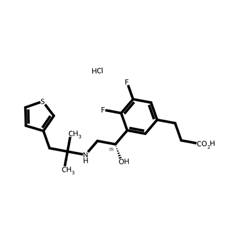 CC(C)(Cc1ccsc1)NC[C@@H](O)c1cc(CCC(=O)O)cc(F)c1F.Cl